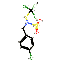 O=[SH](=O)N(Cc1ccc(Cl)cc1)SC(Cl)(Cl)Cl